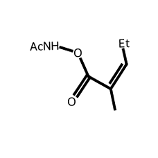 CCC=C(C)C(=O)ONC(C)=O